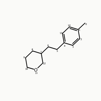 Cc1ccc(CCC2CCCOC2)cc1